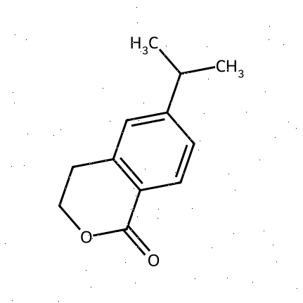 CC(C)c1ccc2c(c1)CCOC2=O